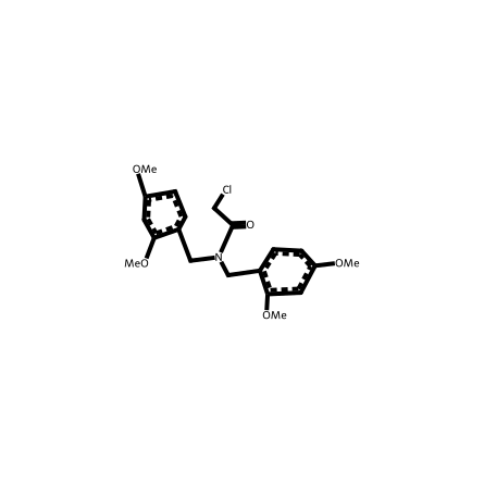 COc1ccc(CN(Cc2ccc(OC)cc2OC)C(=O)CCl)c(OC)c1